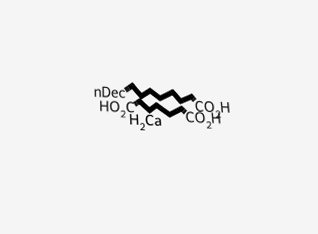 CCCCCCCCCCCCCCCCCC(=O)O.O=C(O)CCCCCC(=O)O.[CaH2]